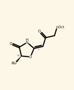 CCCCCCCCCC(=O)/C=C1\NC(=O)[C@H](C(C)CC)O1